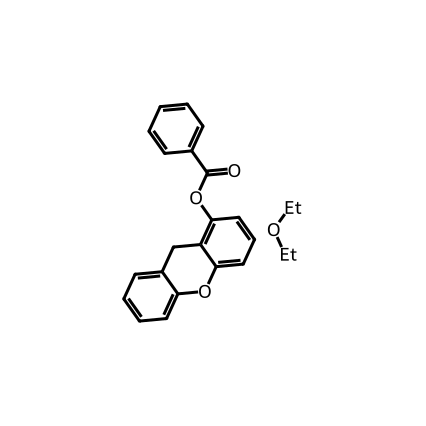 CCOCC.O=C(Oc1cccc2c1Cc1ccccc1O2)c1ccccc1